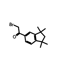 CC1(C)CC(C)(C)c2cc(C(=O)CBr)ccc21